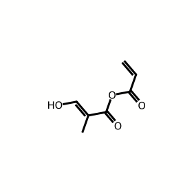 C=CC(=O)OC(=O)C(C)=CO